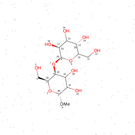 CO[C@@H]1O[C@@H](CO)[C@@H](O[C@@H]2OC(CO)[C@@H](O)C(O)[C@@H]2O)C(O)C1O